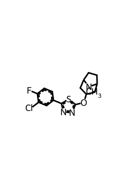 CN1C2CCC1CC(Oc1nnc(-c3ccc(F)c(Cl)c3)s1)C2